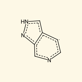 [c]1cncc2n[nH]cc12